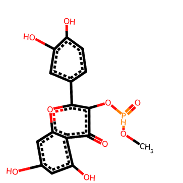 CO[PH](=O)Oc1c(-c2ccc(O)c(O)c2)oc2cc(O)cc(O)c2c1=O